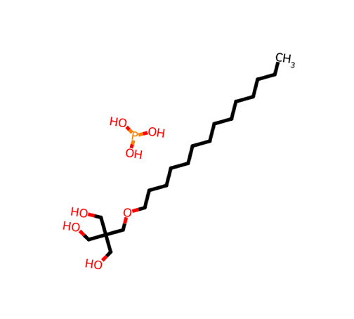 CCCCCCCCCCCCCCOCC(CO)(CO)CO.OP(O)O